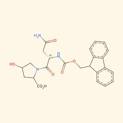 NC(=O)C[C@H](NC(=O)OCC1c2ccccc2-c2ccccc21)C(=O)N1CC(O)CC1C(=O)O